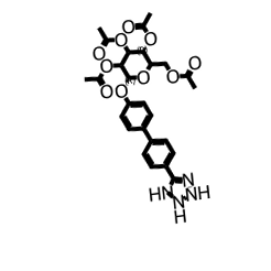 CC(=O)OCC1O[C@H](Oc2ccc(-c3ccc(C4=NNNN4)cc3)cc2)C(OC(C)=O)C(OC(C)=O)[C@@H]1OC(C)=O